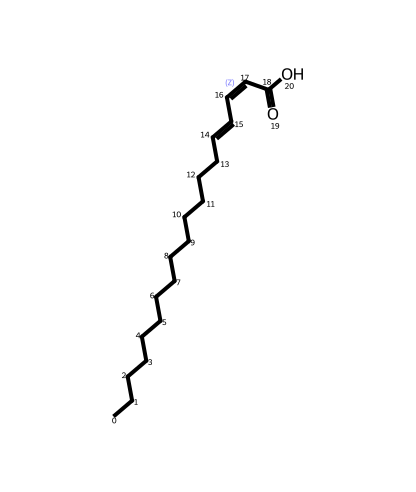 CCCCCCCCCCCCCCC=C/C=C\C(=O)O